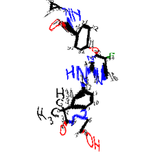 CC1(C)C(=O)N(CCO)c2ccc(Nc3ncc(F)c(Oc4ccc(C(=O)NC5CC5)cc4)n3)cc21